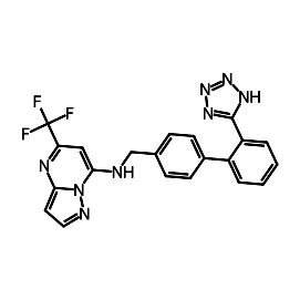 FC(F)(F)c1cc(NCc2ccc(-c3ccccc3-c3nnn[nH]3)cc2)n2nccc2n1